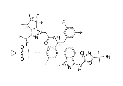 C[C@@H]1c2c(C(F)F)nn(CC(=O)N/C(=C\c3cc(F)cc(F)c3)c3nc(C#CC(C)(C)S(=O)(=O)C4CC4)c(I)cc3-c3ccc(Cl)c4c(Nc5nnc(C(C)(C)O)o5)nn(C)c34)c2C(F)(F)[C@@H]1C